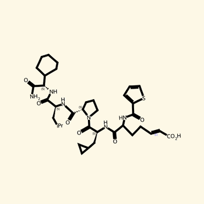 CC(C)C[C@H](NC(=O)[C@@H]1CCCN1C(=O)[C@H](CC1CC1)NC(=O)C(CC/C=C/C(=O)O)NC(=O)c1cccs1)C(=O)N[C@H](C(N)=O)C1CCCCC1